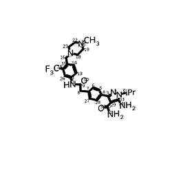 CC(C)n1nc(-c2ccc(CC(=O)Nc3ccc(CN4CCN(C)CC4)c(C(F)(F)F)c3)cc2)c(C(N)=O)c1N